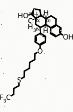 C[C@]12C[C@H](c3ccc(OCCCCCCSCCCC(F)(F)F)cc3)[C@@H]3c4ccc(O)cc4CC[C@H]3[C@@H]1CC[C@@H]2O